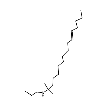 CCCCC=CCCCCCCCCC(C)(C)NCCC